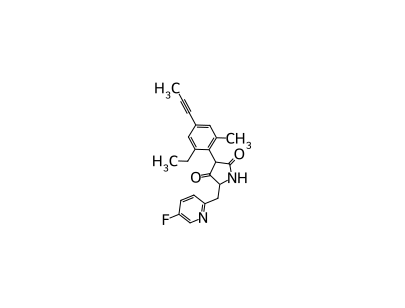 CC#Cc1cc(C)c(C2C(=O)NC(Cc3ccc(F)cn3)C2=O)c(CC)c1